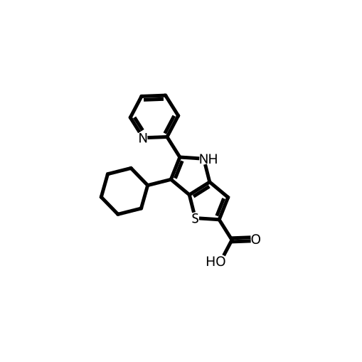 O=C(O)c1cc2[nH]c(-c3ccccn3)c(C3CCCCC3)c2s1